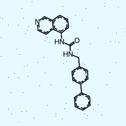 O=C(NCc1ccc(-c2ccccc2)cc1)Nc1cccc2cnccc12